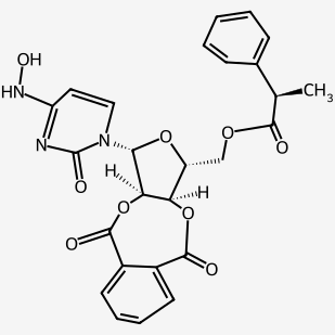 C[C@@H](C(=O)OC[C@H]1O[C@@H](n2ccc(NO)nc2=O)[C@@H]2OC(=O)c3ccccc3C(=O)O[C@@H]21)c1ccccc1